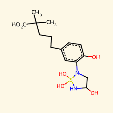 CC(C)(CCCc1ccc(O)c(N2CC(O)NS2(O)O)c1)C(=O)O